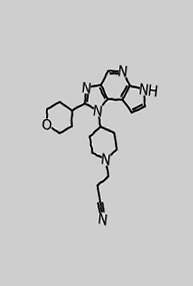 N#CCCN1CCC(n2c(C3CCOCC3)nc3cnc4[nH]ccc4c32)CC1